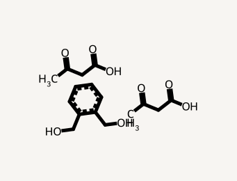 CC(=O)CC(=O)O.CC(=O)CC(=O)O.OCc1ccccc1CO